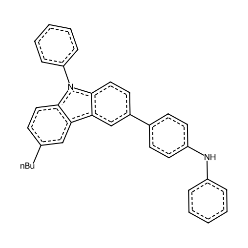 CCCCc1ccc2c(c1)c1cc(-c3ccc(Nc4ccccc4)cc3)ccc1n2-c1ccccc1